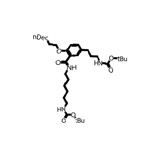 CCCCCCCCCCCCOc1ccc(CCCNC(=O)OC(C)(C)C)cc1C(=O)NCCCCCCNC(=O)OC(C)(C)C